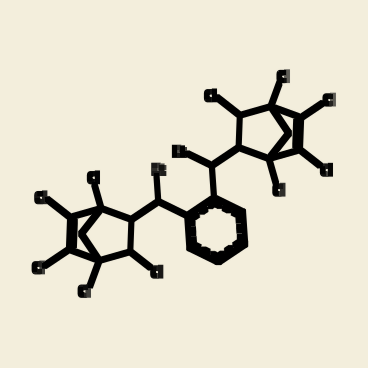 CCC(c1ccccc1C(CC)C1C(Cl)C2(Cl)CC1(Cl)C(Cl)=C2Cl)C1C(Cl)C2(Cl)CC1(Cl)C(Cl)=C2Cl